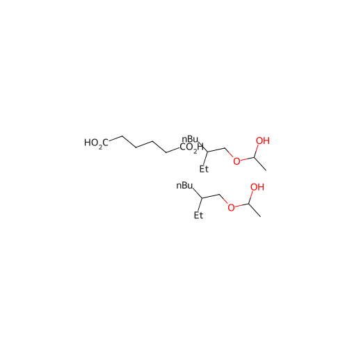 CCCCC(CC)COC(C)O.CCCCC(CC)COC(C)O.O=C(O)CCCCC(=O)O